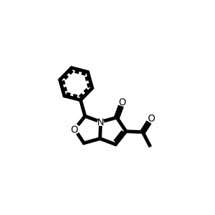 CC(=O)C1=CC2COC(c3ccccc3)N2C1=O